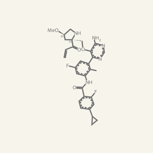 C=CC(=O)[C@@]1(COc2c(N)ncnc2-c2cc(F)cc(NC(=O)c3ccc(C4CC4)cc3F)c2C)C[C@@H](OC)CN1